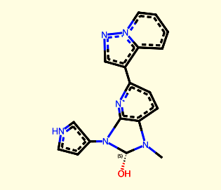 CN1c2ccc(-c3cnn4ccccc34)nc2N(c2cc[nH]c2)[C@H]1O